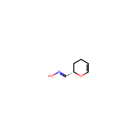 O/N=C/[C@@H]1CCC=CO1